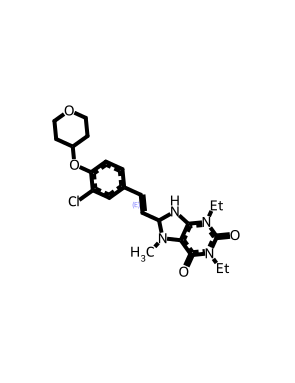 CCn1c2c(c(=O)n(CC)c1=O)N(C)C(/C=C/c1ccc(OC3CCOCC3)c(Cl)c1)N2